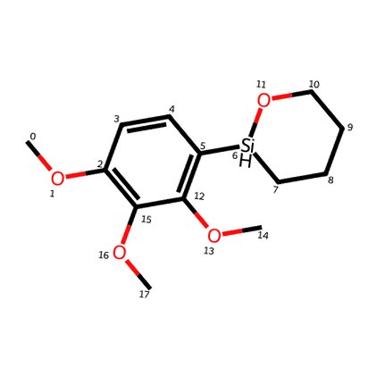 COc1ccc([SiH]2CCCCO2)c(OC)c1OC